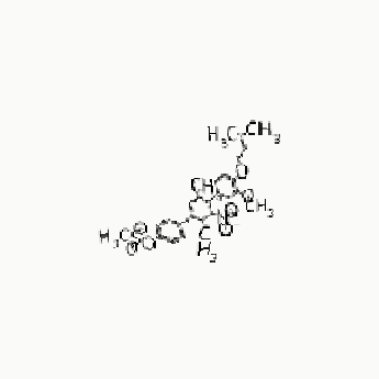 COc1cc(-c2c(C)cc(-c3ccc(OS(C)(=O)=O)cc3)c(C)c2[N+](=O)[O-])ccc1OCC=C(C)C